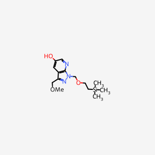 COCc1nn(COCC[Si](C)(C)C)c2ncc(O)cc12